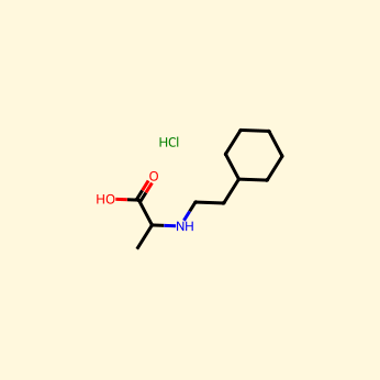 CC(NCCC1CCCCC1)C(=O)O.Cl